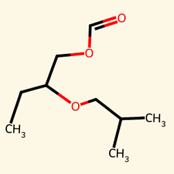 CCC(COC=O)OCC(C)C